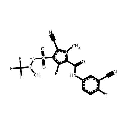 CN(NS(=O)(=O)c1c(F)c(C(=O)Nc2ccc(F)c(C#N)c2)n(C)c1C#N)C(F)(F)F